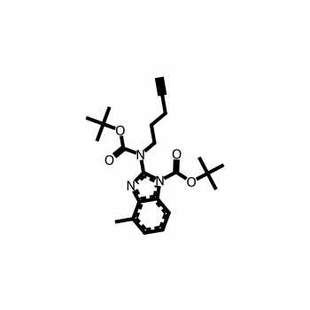 C#CCCCN(C(=O)OC(C)(C)C)c1nc2c(C)cccc2n1C(=O)OC(C)(C)C